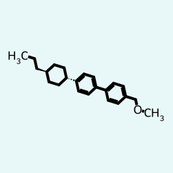 CCC[C@H]1CC[C@H](c2ccc(-c3ccc(COC)cc3)cc2)CC1